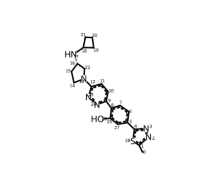 Cc1nnc(-c2ccc(-c3ccc(N4CC[C@H](NC5CCC5)C4)nn3)c(O)c2)s1